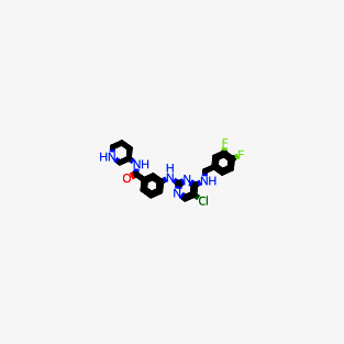 O=C(NC1CCCNC1)c1cccc(Nc2ncc(Cl)c(NCc3ccc(F)c(F)c3)n2)c1